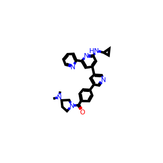 CN(C)[C@H]1CCN(C(=O)c2ccc(-c3cncc(-c4cc(NC5CC5)nc(-c5ccccn5)c4)c3)cc2)C1